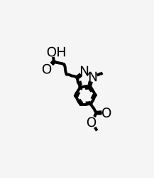 COC(=O)c1ccc2c(CCC(=O)O)nn(C)c2c1